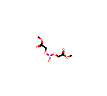 COC(=O)CO[PH](=O)OCC(=O)OC